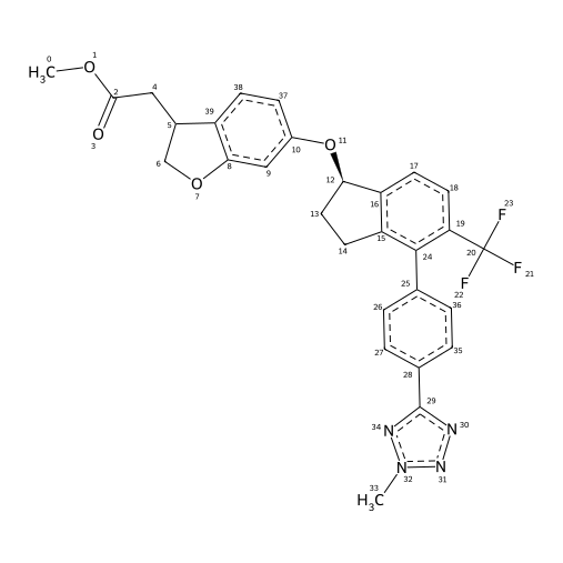 COC(=O)CC1COc2cc(O[C@@H]3CCc4c3ccc(C(F)(F)F)c4-c3ccc(-c4nnn(C)n4)cc3)ccc21